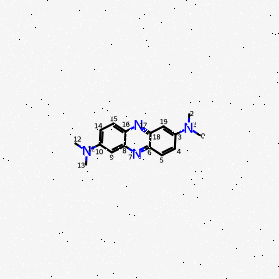 CN(C)c1ccc2nc3cc(N(C)C)ccc3nc2c1